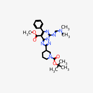 COC(=O)c1c(-c2ccccc2)nc(N=CN(C)C)n2nc(C3CCCN(C(=O)OC(C)(C)C)C3)nc12